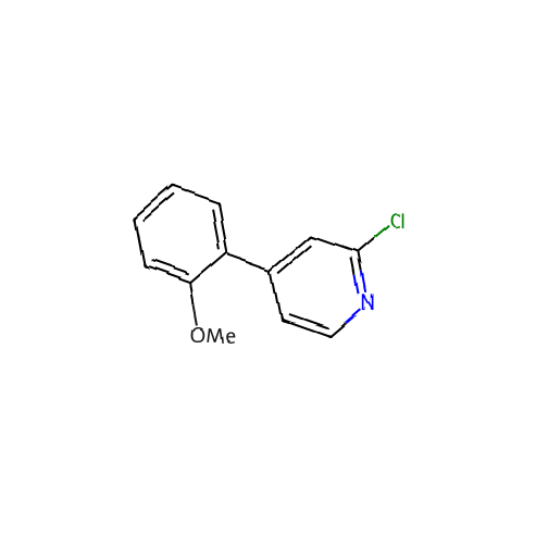 COc1ccccc1-c1ccnc(Cl)c1